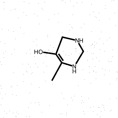 CC1=C(O)CNCN1